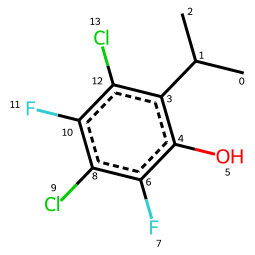 CC(C)c1c(O)c(F)c(Cl)c(F)c1Cl